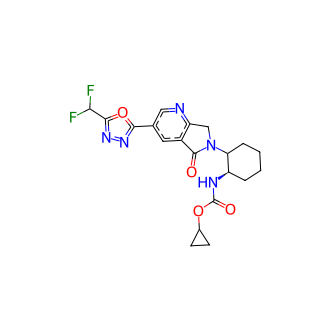 O=C(N[C@@H]1CCCCC1N1Cc2ncc(-c3nnc(C(F)F)o3)cc2C1=O)OC1CC1